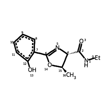 CCNC(=O)[C@H]1N=C(c2ccccc2O)O[C@@H]1C